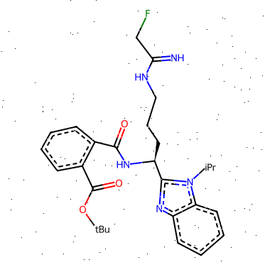 CC(C)n1c([C@H](CCCNC(=N)CF)NC(=O)c2ccccc2C(=O)OC(C)(C)C)nc2ccccc21